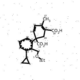 CCOCc1c(C2CC2)cccc1C1(C(=O)O)C=CC(C)=C(C(=O)O)C1